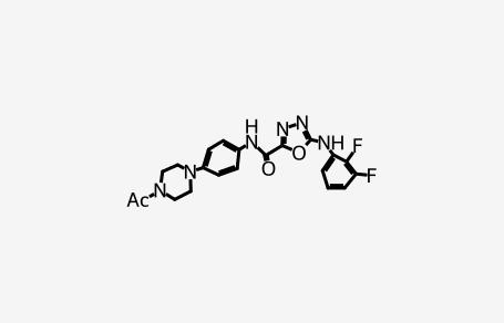 CC(=O)N1CCN(c2ccc(NC(=O)c3nnc(Nc4cccc(F)c4F)o3)cc2)CC1